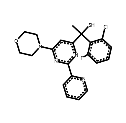 CC(S)(c1cc(N2CCOCC2)nc(-c2ccccn2)n1)c1c(F)cccc1Cl